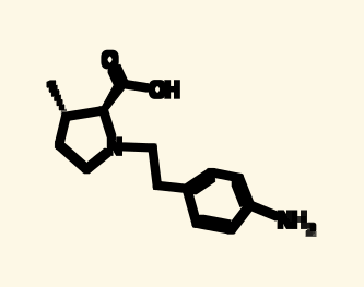 C[C@H]1CCN(CCc2ccc(N)cc2)[C@@H]1C(=O)O